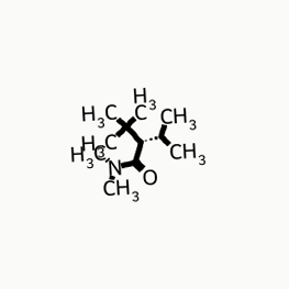 CC(C)[C@H](C(=O)N(C)C)C(C)(C)C